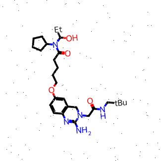 CCC(O)N(C(=O)CCCCOc1ccc2c(c1)CN(CC(=O)NCC(C)(C)C)C(N)=N2)C1CCCC1